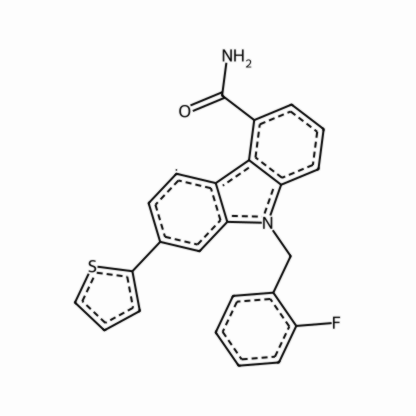 NC(=O)c1cccc2c1c1[c]cc(-c3cccs3)cc1n2Cc1ccccc1F